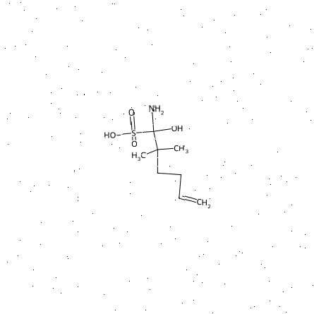 C=CCCC(C)(C)C(N)(O)S(=O)(=O)O